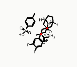 CC(=O)N(C)CC(=O)N1[C@@H]2CC[C@H]1C[C@H]([C@H](N)Cc1cc(F)c(F)cc1F)C2.Cc1ccc(S(=O)(=O)O)cc1